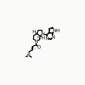 CN(C)C/C=C/C(=O)N1CC[C@H]2CCN(c3ncnc4[nH]ccc34)[C@@H]2C1